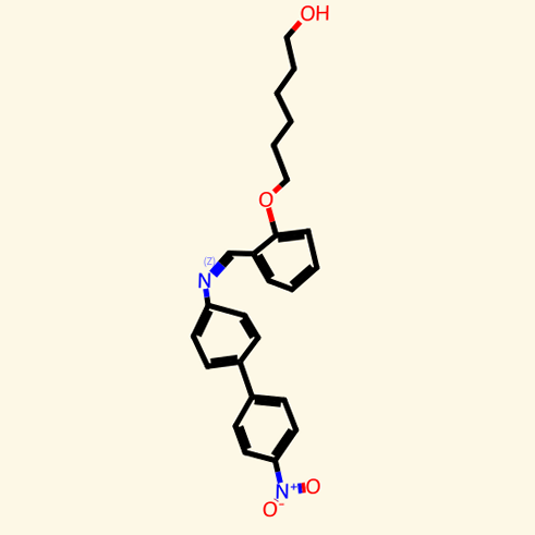 O=[N+]([O-])c1ccc(-c2ccc(/N=C\c3ccccc3OCCCCCCO)cc2)cc1